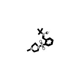 CN1CCN(S(=O)(=O)c2ccccc2C=[N+]([O-])C(C)(C)C)CC1